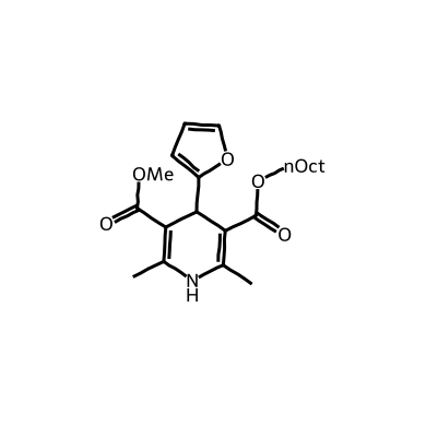 CCCCCCCCOC(=O)C1=C(C)NC(C)=C(C(=O)OC)C1c1ccco1